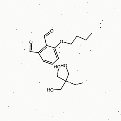 CCC(CO)(CO)CO.CCCCOc1cccc(C=O)c1C=O